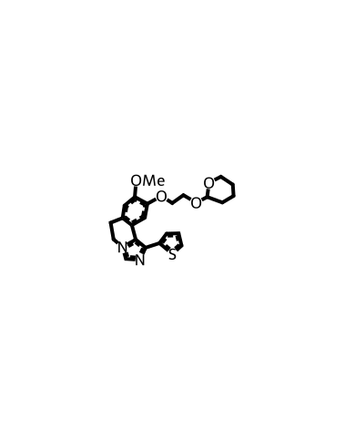 COc1cc2c(cc1OCCOC1CCCCO1)-c1c(-c3cccs3)ncn1CC2